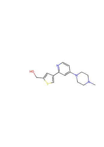 CN1CCN(c2ccnc(-c3csc(CO)c3)c2)CC1